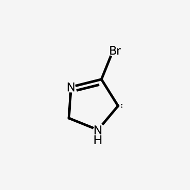 BrC1=NCN[C]1